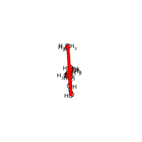 CC(C)(C)OC(=O)CCCCCCCCCCCCCCCCCCC(=O)NC(CCC(=O)NC(CCC(=O)NCCOCCOCC(=O)NCCOCCOCC(=O)O)C(=O)OC(C)(C)C)C(=O)OC(C)(C)C